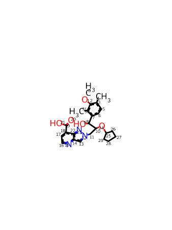 COc1c(C)ccc(C(O)C(Cn2cc3nccc(C(=O)O)c3n2)OC2CCCC2)c1C